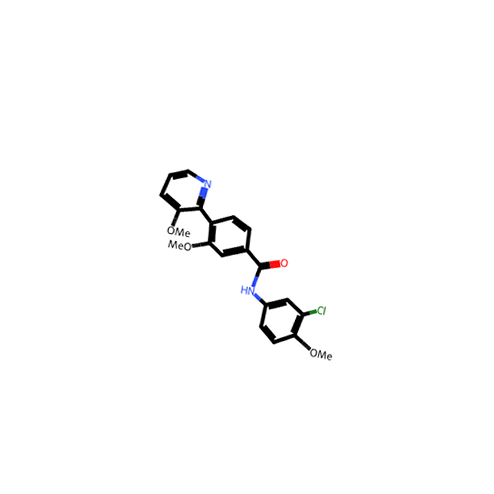 COc1ccc(NC(=O)c2ccc(-c3ncccc3OC)c(OC)c2)cc1Cl